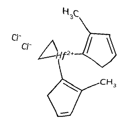 CC1=[C]([Hf+2]2([C]3=C(C)C=CC3)[CH2][CH2]2)CC=C1.[Cl-].[Cl-]